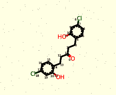 O=C(CCc1ccc(Cl)cc1O)CCc1ccc(Cl)cc1O